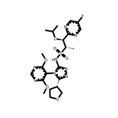 COc1ncnc(OC)c1-n1c(NS(=O)(=O)[C@@H](C)[C@@H](OC(C)C)c2ncc(F)cn2)nnc1[C@H]1CCOC1